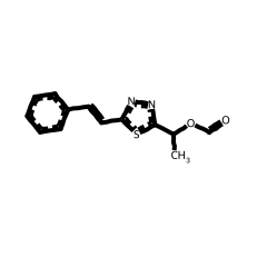 CC(OC=O)c1nnc(C=Cc2ccccc2)s1